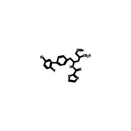 COCC(CC(Cc1ccc(-c2cc(Cl)ccc2F)cc1)NC(=O)c1ncco1)C(=O)O